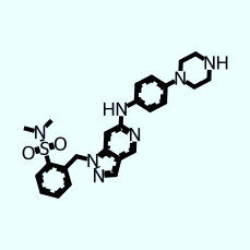 CN(C)S(=O)(=O)c1ccccc1Cn1ncc2cnc(Nc3ccc(N4CCNCC4)cc3)cc21